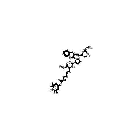 CC(C)C[C@@H](/C=C/[C@H](Cc1ccccc1)C(=O)N1CCC[C@H]1C(=O)N[C@@H](CCCCNC(=O)OC1CC(C)(C)N(O)C(C)(C)C1)C(=O)OC(C)C)NC(=O)OC(C)(C)C